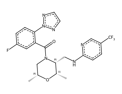 C[C@@H]1CN(C(=O)c2cc(F)ccc2-n2nccn2)[C@H](CNc2ccc(C(F)(F)F)cn2)[C@H](C)O1